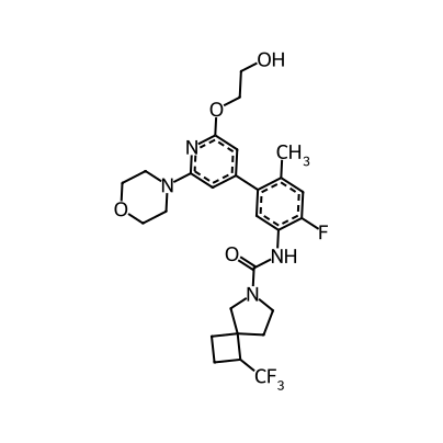 Cc1cc(F)c(NC(=O)N2CCC3(CCC3C(F)(F)F)C2)cc1-c1cc(OCCO)nc(N2CCOCC2)c1